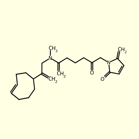 C=C(CN(C)C(=C)CCCC(=O)CN1C(=C)C=CC1=O)C1CC/C=C/CCC1